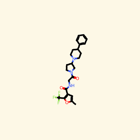 Cc1cc(C(=O)NCC(=O)N2CCC(N3CCC(c4ccccc4)CC3)C2)c(C(F)(F)F)o1